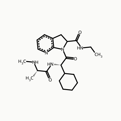 CCNC(=O)C1Cc2cccnc2N1C(=O)[C@@H](NC(=O)[C@H](C)NC)C1CCCCC1